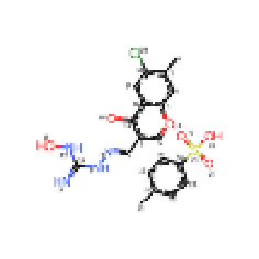 Cc1cc2occ(C=NNC(=N)NO)c(=O)c2cc1Cl.Cc1ccc(S(=O)(=O)O)cc1